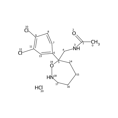 CC(=O)NCC1(c2ccc(Cl)c(Cl)c2)CCCCNO1.Cl